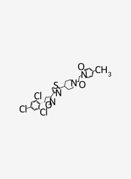 Cc1ccn(CC(=O)N2CCC(c3nc(C4=NO[C@H](c5c(Cl)cc(Cl)cc5Cl)C4)cs3)CC2)c(=O)c1